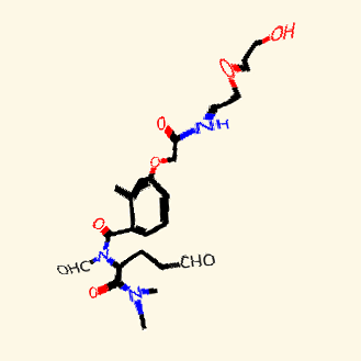 Cc1c(OCC(=O)NCCOCCO)cccc1C(=O)N(C=O)C(CCC=O)C(=O)N(C)C